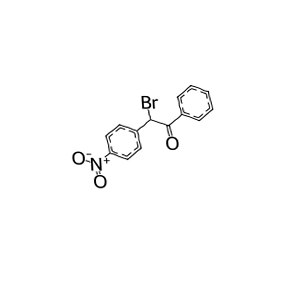 O=C(c1ccccc1)C(Br)c1ccc([N+](=O)[O-])cc1